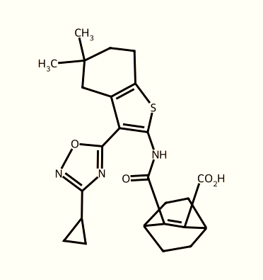 CC1(C)CCc2sc(NC(=O)C3=C(C(=O)O)C4CCC3CC4)c(-c3nc(C4CC4)no3)c2C1